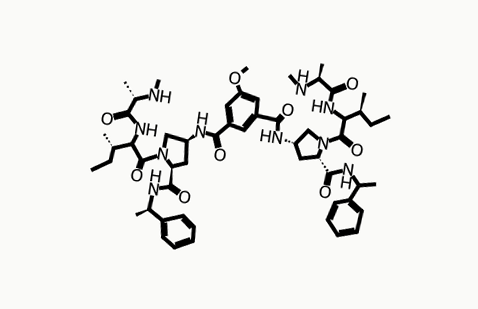 CC[C@H](C)C(NC(=O)[C@H](C)NC)C(=O)N1C[C@@H](NC(=O)c2cc(OC)cc(C(=O)N[C@H]3C[C@@H](C(=O)N[C@H](C)c4ccccc4)N(C(=O)C(NC(=O)[C@H](C)NC)[C@@H](C)CC)C3)c2)C[C@H]1C(=O)NC(C)c1ccccc1